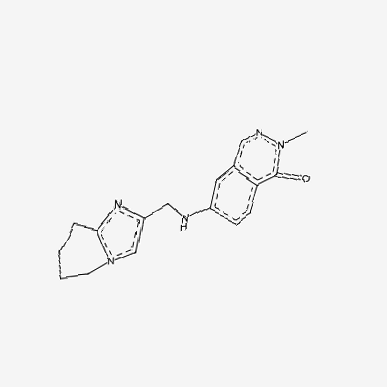 Cn1ncc2cc(NCc3cn4c(n3)CCCC4)ccc2c1=O